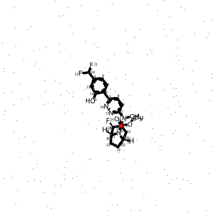 CN(c1ccc(-c2ccc(C(F)F)cc2O)nn1)[C@H]1C[C@@H]2CC[C@H]([C@H]1F)N2C(=O)OC(C)(C)C